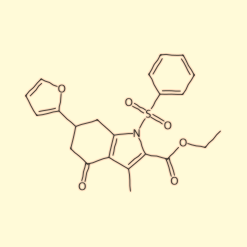 CCOC(=O)c1c(C)c2c(n1S(=O)(=O)c1ccccc1)CC(c1ccco1)CC2=O